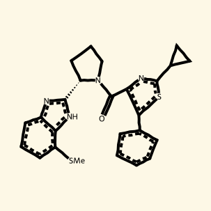 CSc1cccc2nc([C@@H]3CCCN3C(=O)c3nc(C4CC4)sc3-c3ccccc3)[nH]c12